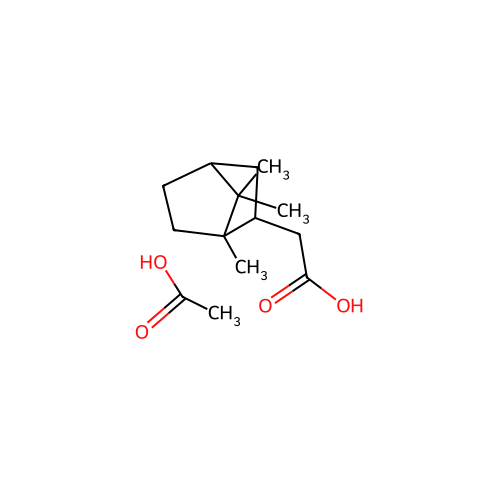 CC(=O)O.CC1(C)C2CCC1(C)C(CC(=O)O)C2